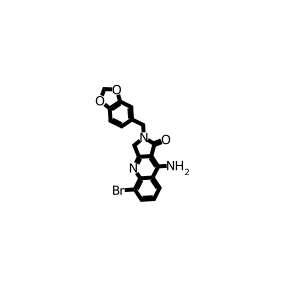 Nc1c2c(nc3c(Br)cccc13)CN(Cc1ccc3c(c1)OCO3)C2=O